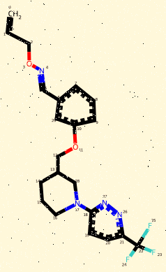 C=CCON=Cc1cccc(OCC2CCCN(c3ccc(C(F)(F)F)nn3)C2)c1